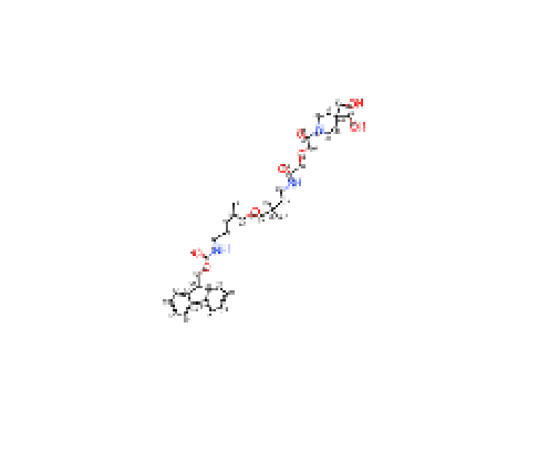 C[C@H](CCCNC(=O)OCC1c2ccccc2-c2ccccc21)COCC(C)(C)CCNC(=O)COCC(=O)N1CCC(CO)(CO)CC1